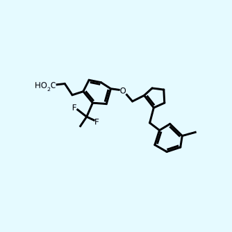 Cc1cccc(CC2=C(COc3ccc(CCC(=O)O)c(C(C)(F)F)c3)CCC2)c1